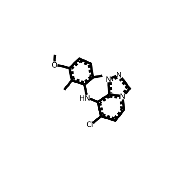 COc1ccc(C)c(Nc2c(Cl)ccn3cnnc23)c1C